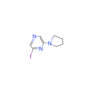 Ic1cncc(N2CCCC2)n1